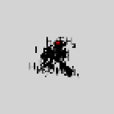 CCCCC(NC(=O)CC(C)C)C(=O)NC(Cc1cc2ccccc2n1C(=O)OC(C)(C)C)C(=O)NC(CCCCn1cc(CC(NC)C(=O)N2CCCCC2)nn1)C(=O)NC(Cc1ccccc1)C(=O)NC(Cc1cc2ccccc2n1C(=O)OC(C)(C)C)C(C)=O